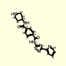 O=C(Nc1nc(-c2ccccn2)ns1)c1ccc(C(=O)NC2CCNCC2)cc1